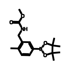 COC(=O)NCc1cc(B2OC(C)(C)C(C)(C)O2)ccc1C